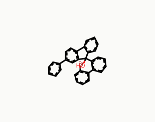 OC1(c2ccccc2-c2ccccc2Br)c2ccccc2-c2ccc(-c3ccccc3)cc21